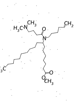 C=CCCCCN(C(=O)CCCN(C)C)C(CCCCCCCCCC)CCCCCCC(=O)OC